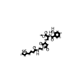 COC(=O)C(CSC1CC(=O)N(CCNC(=O)CCCC2CCSS2)C1=O)NC(=O)c1ccccc1O